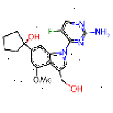 COc1cc(C2(O)CCCC2)cc2c1c(CO)cn2-c1nc(N)ncc1F